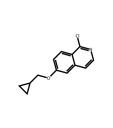 Clc1nccc2cc(OCC3CC3)ccc12